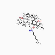 CCCCCCNC(=O)CC(c1cc(C(C)(C)C)c(O)c(C(C)(C)C)c1)c1cc(C(C)(C)C)c(O)c(C(C)(C)C)c1